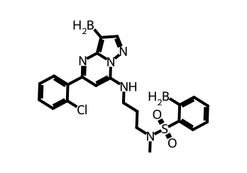 Bc1ccccc1S(=O)(=O)N(C)CCCNc1cc(-c2ccccc2Cl)nc2c(B)cnn12